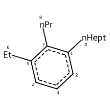 CCCCCCCc1[c]ccc(CC)c1CCC